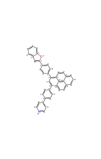 c1ccc2oc(-c3ccc(-c4cc(-c5ccc(-c6ccncc6)cc5)c5ccc6cccc7ccc4c5c67)cc3)cc2c1